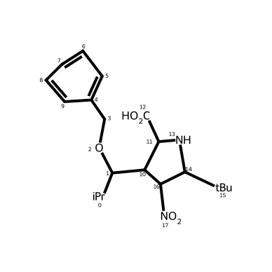 CC(C)C(OCc1ccccc1)C1C(C(=O)O)NC(C(C)(C)C)C1[N+](=O)[O-]